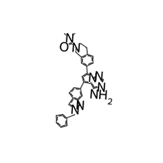 CN(C)C(=O)N1CCc2ccc(-c3cc(-c4ccc5cn(Cc6ccccc6)nc5c4)c4c(N)ncnn34)cc2C1